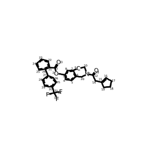 O=C(Oc1ccc2c(c1)CCN(C(=O)CC1=CCCC1)C2)c1ccccc1-c1ccc(C(F)(F)F)cc1